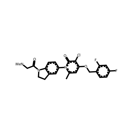 CNCC(=O)N1CCc2cc(-n3c(C)cc(OCc4ccc(F)cc4F)c(Cl)c3=O)ccc21